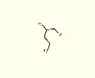 CC(C)C(CCC(F)(F)F)CC(F)(F)F